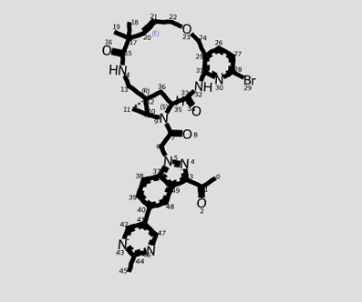 CC(=O)c1nn(CC(=O)N2C3C[C@@]34CNC(=O)C(C)(C)/C=C/COCc3ccc(Br)nc3NC(=O)[C@@H]2C4)c2ccc(-c3cnc(C)nc3)cc12